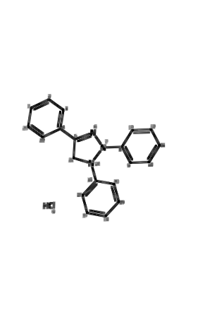 Cl.c1ccc(C2=NN(c3ccccc3)N(c3ccccc3)C2)cc1